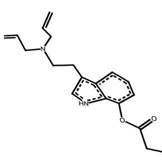 C=CCN(CC=C)CCc1c[nH]c2c(OC(=O)CC(=O)O)cccc12